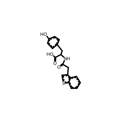 O=C(Cc1csc2ccccc12)NC(Cc1ccc(O)cc1)C(=O)O